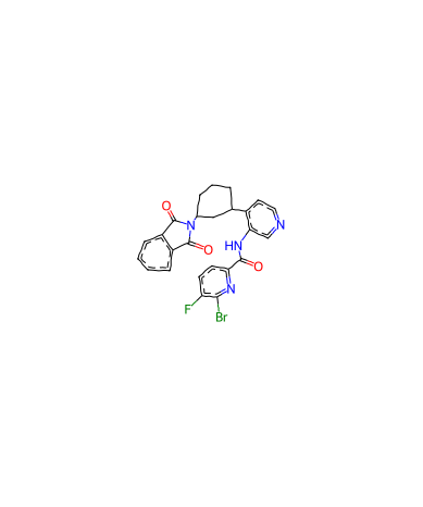 O=C(Nc1cnccc1C1CCCC(N2C(=O)c3ccccc3C2=O)C1)c1ccc(F)c(Br)n1